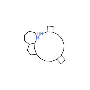 C1CCC2CCC2NN2CCCCC3CCC(CCCC4CCC4C1)CC32